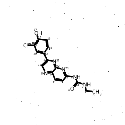 CCNC(=O)Nc1ccc2ncc(-c3ccc(O)c(Cl)c3)nc2n1